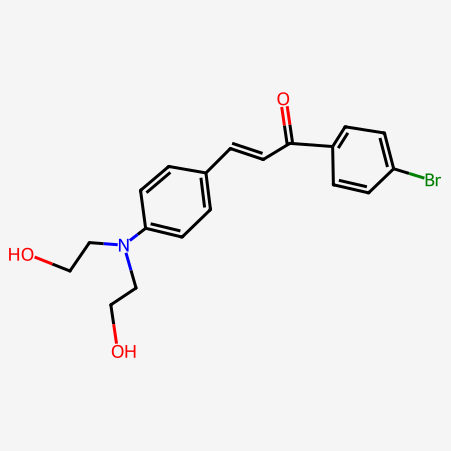 O=C(/C=C/c1ccc(N(CCO)CCO)cc1)c1ccc(Br)cc1